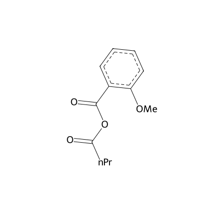 CCCC(=O)OC(=O)c1ccccc1OC